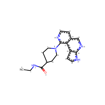 N#CCNC(=O)C1CCN(c2nccc3cnc4[nH]ccc4c23)CC1